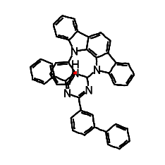 c1ccc(C2=NC(c3cccc(-c4ccccc4)c3)=NC(n3c4ccccc4c4ccc5c6ccccc6n(-c6ccccc6)c5c43)N2)cc1